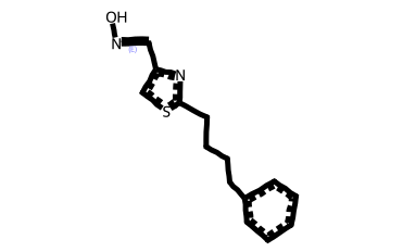 O/N=C/c1csc(CCCCc2ccccc2)n1